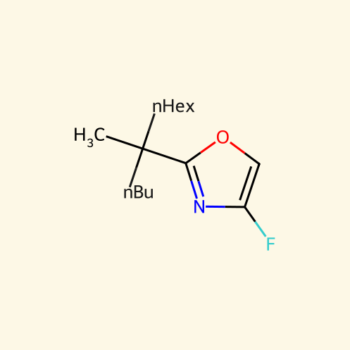 CCCCCCC(C)(CCCC)c1nc(F)co1